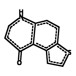 O=c1cc[nH]c2ccc3sccc3c12